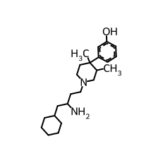 CC1CN(CCC(N)CC2CCCCC2)CCC1(C)c1cccc(O)c1